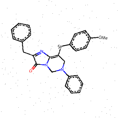 COc1ccc([Se]C2=C3N=C(Cc4ccccc4)C(=O)N3CN(c3ccccc3)C2)cc1